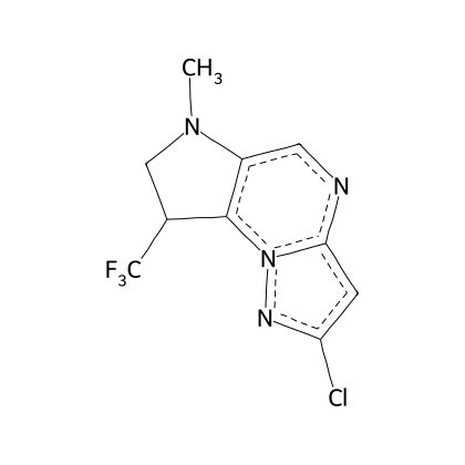 CN1CC(C(F)(F)F)c2c1cnc1cc(Cl)nn21